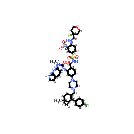 Cn1c(=O)n(-c2cc(N3CCN(CC4=C(c5ccc(Cl)cc5)CC(C)(C)CC4)CC3)ccc2C(=O)NS(=O)(=O)c2ccc(NCC3(F)CCOCC3)c([N+](=O)[O-])c2)c2cc3cc[nH]c3nc21